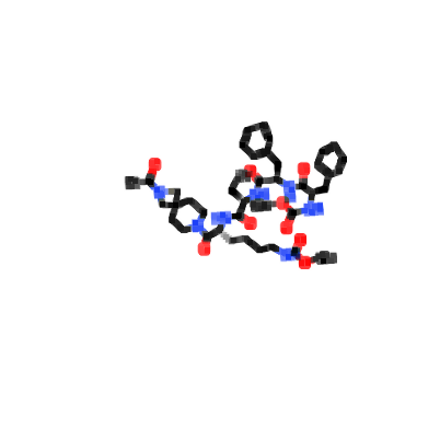 CCC(=O)N1CC2(CCN(C(=O)[C@@H](CCCCNC(=O)OC(C)(C)C)NC(=O)[C@@H](CC(C)C)NC(=O)[C@@H](Cc3ccccc3)NC(=O)[C@@H](Cc3ccccc3)NC(=O)OC(C)(C)C)CC2)C1